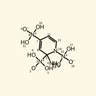 NC1([N+]([O-])(O)O)C=C([N+]([O-])(O)O)C=CN1[N+]([O-])(O)O